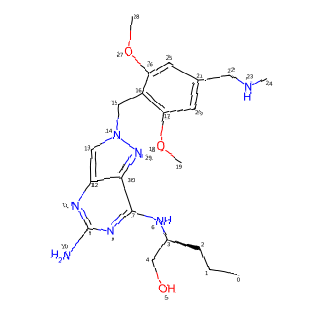 CCC[C@@H](CO)Nc1nc(N)nc2cn(Cc3c(OC)cc(CNC)cc3OC)nc12